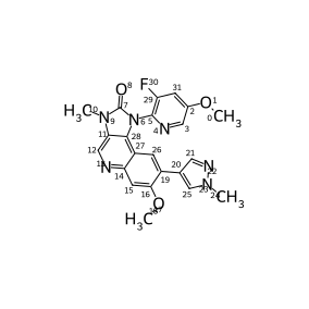 COc1cnc(-n2c(=O)n(C)c3cnc4cc(OC)c(-c5cnn(C)c5)cc4c32)c(F)c1